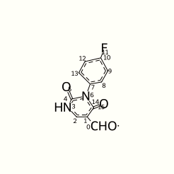 O=[C]c1c[nH]c(=O)n(-c2ccc(F)cc2)c1=O